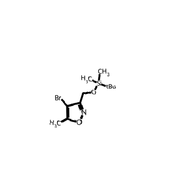 Cc1onc(CO[Si](C)(C)C(C)(C)C)c1Br